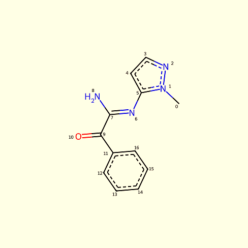 Cn1nccc1N=C(N)C(=O)c1ccccc1